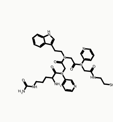 NC(=O)NCCCC(N)C(=O)N(CC(=O)N(CCc1c[nH]c2ccccc12)CC(=O)N(CC(=O)NCCS)c1cccnc1)c1cccnc1